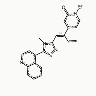 C=C/C(=C\c1nnc(-c2ccnc3ccccc23)n1C)c1ccn(CC)c(=O)c1